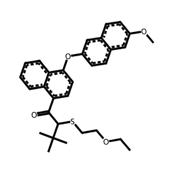 CCOCCSC(C(=O)c1ccc(Oc2ccc3cc(OC)ccc3c2)c2ccccc12)C(C)(C)C